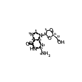 Nc1nc2c(ncn2[C@H]2CO[C@@H](CO)O2)c(=O)[nH]1